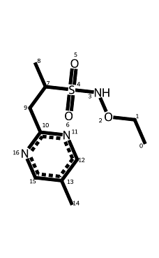 CCONS(=O)(=O)C(C)Cc1ncc(C)cn1